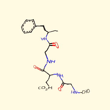 CC(Cc1ccccc1)NC(=O)CNC(=O)C(CC(=O)O)NC(=O)CNC=O